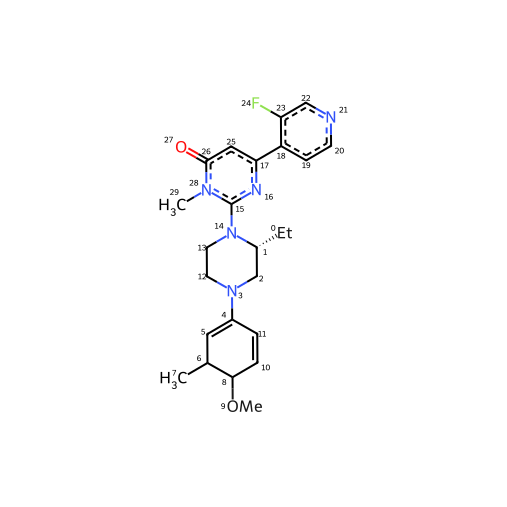 CC[C@@H]1CN(C2=CC(C)C(OC)C=C2)CCN1c1nc(-c2ccncc2F)cc(=O)n1C